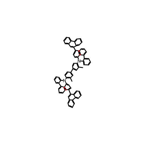 Cc1cc(-c2ccc(N(c3ccc(-c4cc5ccccc5c5ccccc45)cc3)c3ccccc3-c3ccccc3)c(C)c2)ccc1N(c1ccc(-c2cc3ccccc3c3ccccc23)cc1)c1ccccc1-c1ccccc1